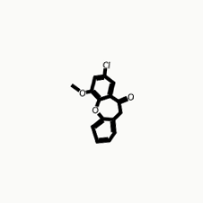 COc1cc(Cl)cc2c1Oc1ccccc1CC2=O